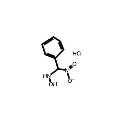 Cl.O=[N+]([O-])C(NO)c1ccccc1